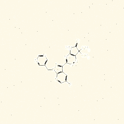 CC1(C)C(=O)Nc2nc(-c3nn(Cc4cncnc4)c4ncc(F)cc34)nnc21